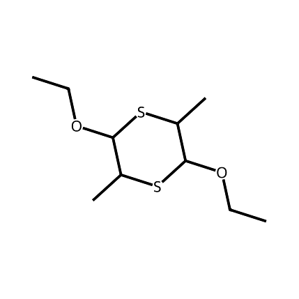 CCOC1SC(C)C(OCC)SC1C